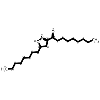 CCCCCCCCC(=O)C1=NOC(CCCCCCCC)C1